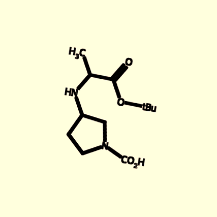 CC(NC1CCN(C(=O)O)C1)C(=O)OC(C)(C)C